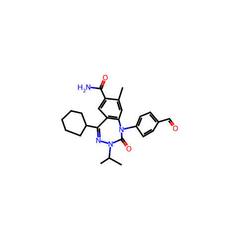 Cc1cc2c(cc1C(N)=O)C(C1CCCCC1)=NN(C(C)C)C(=O)N2c1ccc(C=O)cc1